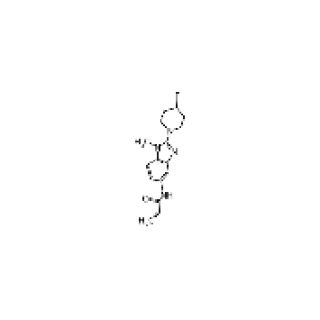 C=CC(=O)Nc1ccc2c(c1)nc(N1CCC(F)CC1)n2C